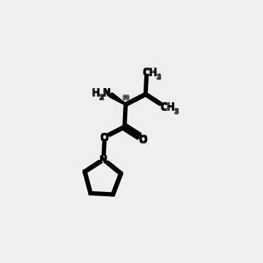 CC(C)[C@H](N)C(=O)ON1CCCC1